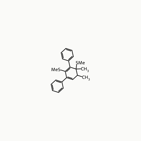 CSC1=C(c2ccccc2)C(C)(SC)C(C)C=C1c1ccccc1